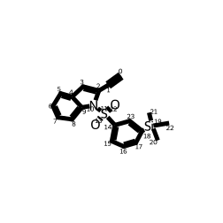 C#Cc1cc2ccccc2n1S(=O)(=O)c1cccc([Si](C)(C)C)c1